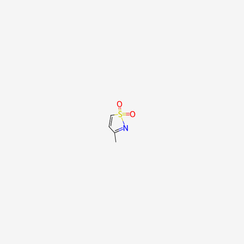 CC1=NS(=O)(=O)C=C1